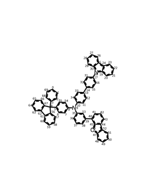 c1ccc(C2(c3ccc(N(c4ccc(-c5ccc(-n6c7ccccc7c7ccccc76)cc5)cc4)c4cccc(-c5cccc6c5oc5ccccc56)c4)cc3)c3ccccc3-c3ccccc32)cc1